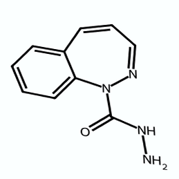 NNC(=O)N1N=CC=Cc2ccccc21